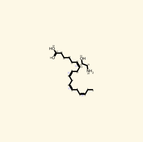 CC/C=C\C/C=C\C/C=C\C/C=C\CCCCC(=O)O.NCCO